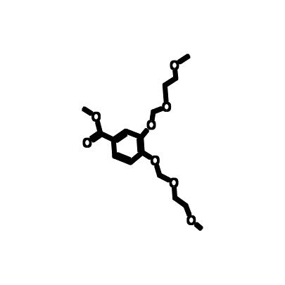 COCCOCOc1ccc(C(=O)OC)cc1OCOCCOC